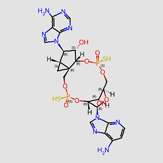 Nc1ncnc2c1ncn2[C@H]1[C@H](O)[C@@H]2O[P@@](=O)(S)OC[C@H]3O[C@@H](n4cnc5c(N)ccnc54)[C@H](O[P@@](=O)(S)OC[C@]24C[C@H]14)[C@@H]3O